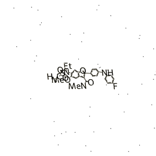 CCN(c1cc2oc(-c3ccc(Nc4ccc(F)cc4)cc3)c(C(=O)NC)c2cc1OC)S(C)(=O)=O